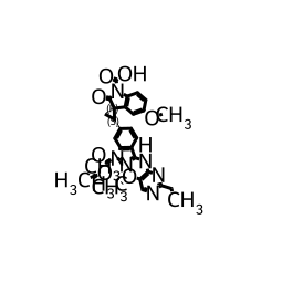 CCc1ncc(OC)c(Nc2nn(C(=O)OC(C)(C)C)c3cc([C@@H]4C[C@@]45C(=O)N(C(=O)O)c4ccc(OC)cc45)ccc23)n1